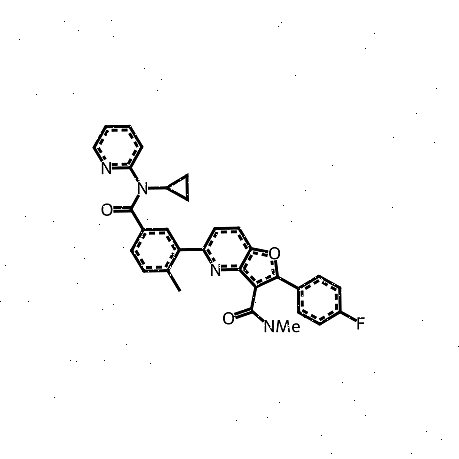 CNC(=O)c1c(-c2ccc(F)cc2)oc2ccc(-c3cc(C(=O)N(c4ccccn4)C4CC4)ccc3C)nc12